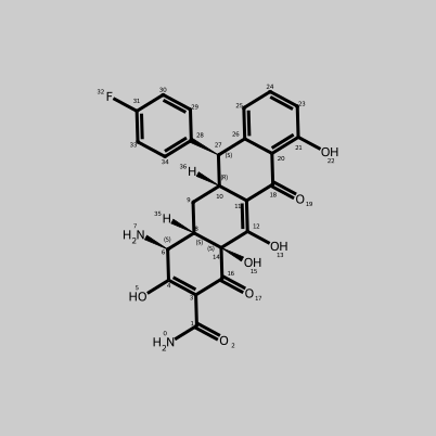 NC(=O)C1=C(O)[C@@H](N)[C@@H]2C[C@H]3C(=C(O)[C@]2(O)C1=O)C(=O)c1c(O)cccc1[C@@H]3c1ccc(F)cc1